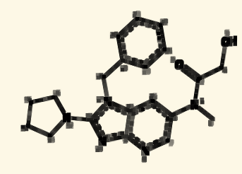 CN(C(=O)CO)c1cnc2nc(N3CCCC3)n(Cc3ccccc3)c2c1